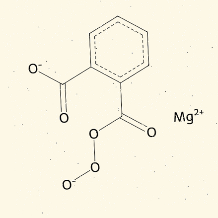 O=C([O-])c1ccccc1C(=O)OO[O-].[Mg+2]